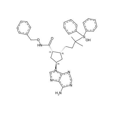 CC(C)(CC[C@@H]1C[C@@H](n2cnc3c(N)ncnc32)C[C@@H]1C(=O)NOCc1ccccc1)[Si](O)(c1ccccc1)c1ccccc1